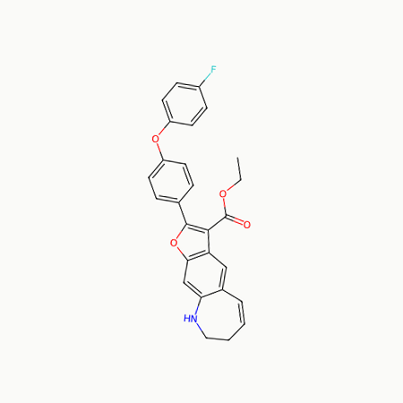 CCOC(=O)c1c(-c2ccc(Oc3ccc(F)cc3)cc2)oc2cc3c(cc12)C=CCCN3